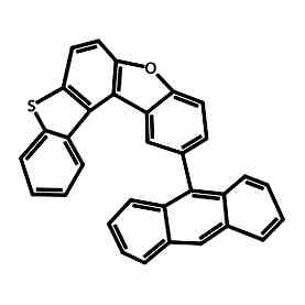 c1ccc2c(-c3ccc4oc5ccc6sc7ccccc7c6c5c4c3)c3ccccc3cc2c1